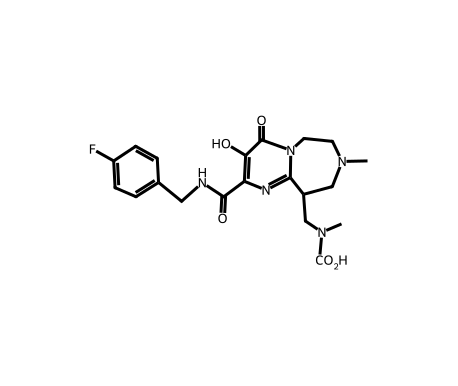 CN1CCn2c(nc(C(=O)NCc3ccc(F)cc3)c(O)c2=O)C(CN(C)C(=O)O)C1